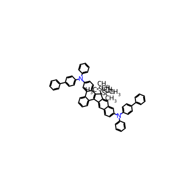 C[Si](C)(C)C1([Si](C)(C)C)c2cc3cc(N(c4ccccc4)c4ccc(-c5ccccc5)cc4)ccc3cc2-c2c1c1ccc(N(c3ccccc3)c3ccc(-c4ccccc4)cc3)cc1c1ccccc21